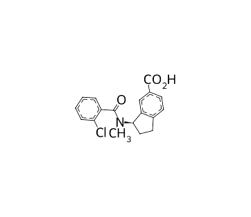 CN(C(=O)c1ccccc1Cl)[C@@H]1CCc2ccc(C(=O)O)cc21